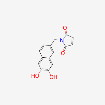 O=C1C=CC(=O)N1Cc1ccc2cc(O)c(O)cc2c1